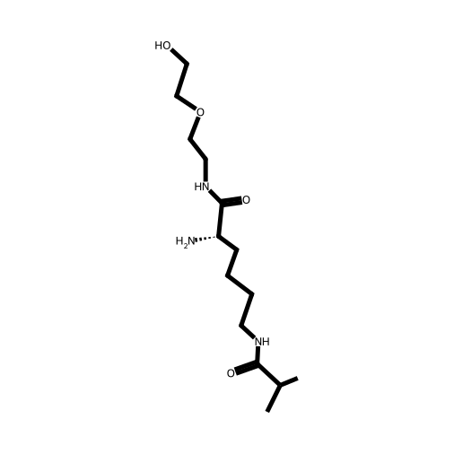 CC(C)C(=O)NCCCC[C@H](N)C(=O)NCCOCCO